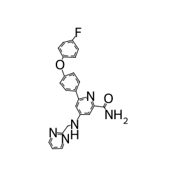 NC(=O)c1cc(NCc2ncccn2)cc(-c2ccc(Oc3ccc(F)cc3)cc2)n1